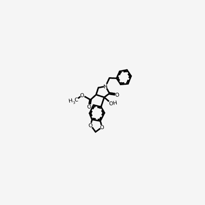 COC(=O)C1CN(Cc2ccccc2)C(=O)C1(O)c1ccc2c(c1)OCO2